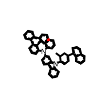 CC1CC(c2cccc3ccccc23)=CC=C1n1c2ccccc2c2ccc(N(c3ccccc3)c3cccc4c5ccccc5c5ccccc5c34)cc21